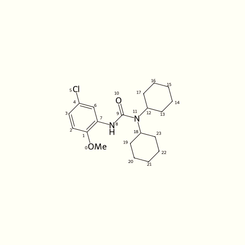 COc1ccc(Cl)cc1NC(=O)N(C1CCCCC1)C1CCCCC1